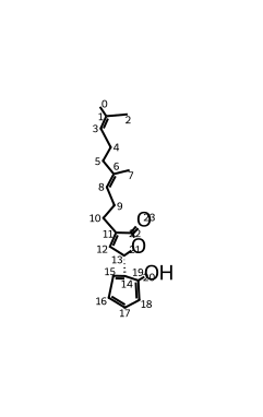 CC(C)=CCC/C(C)=C/CCC1=C[C@@H](c2ccccc2O)OC1=O